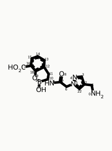 NCc1cnn(CC(=O)N[C@H]2Cc3cccc(C(=O)O)c3OB2O)c1